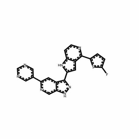 Fc1ccc(-c2nccc3[nH]c(-c4n[nH]c5cnc(-c6cncnc6)cc45)cc23)s1